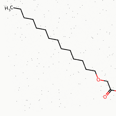 CCCCCCCCCCCCCCOCC(=O)O